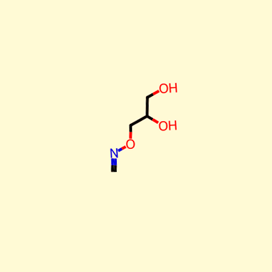 C=NOCC(O)CO